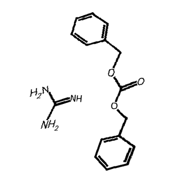 N=C(N)N.O=C(OCc1ccccc1)OCc1ccccc1